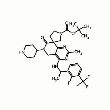 Cc1nc(N[C@H](C)c2cccc(C(F)(F)F)c2F)c2c(n1)C1(CCN(C(=O)OC(C)(C)C)C1)C(=O)N(C1CCNCC1)C2